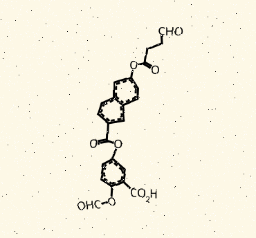 O=CCCC(=O)Oc1ccc2cc(C(=O)Oc3ccc(OC=O)c(C(=O)O)c3)ccc2c1